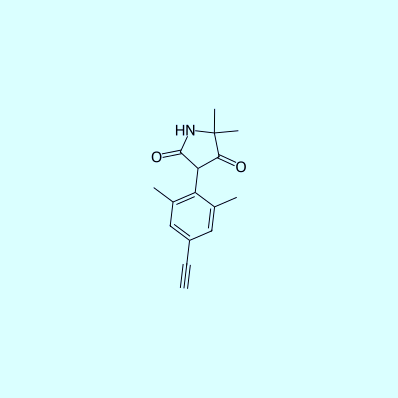 C#Cc1cc(C)c(C2C(=O)NC(C)(C)C2=O)c(C)c1